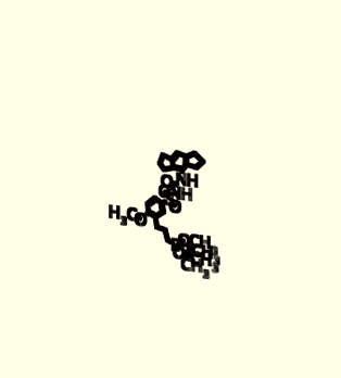 COc1ccc(S(=O)(=O)NC(=O)Nc2c3c(cc4c2CCC4)CCC3)cc1CCCB1OC(C)(C)C(C)(C)O1